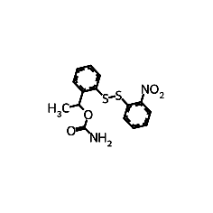 CC(OC(N)=O)c1ccccc1SSc1ccccc1[N+](=O)[O-]